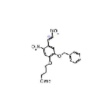 COCCCOc1cc([N+](=O)[O-])c(/C=C/[N+](=O)[O-])cc1OCc1ccccc1